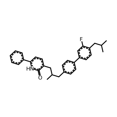 CC(C)Cc1ccc(-c2ccc(CC(C)Cc3ccc(-c4ccccc4)[nH]c3=O)cc2)cc1F